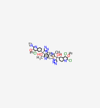 Cc1nc(C)c(C(O)(c2ccc3nc(Cl)c(OC(C)C)c(Cl)c3c2)c2cnnn2CCc2ccc(C(O)(c3ccc4nc(N5CCC5)c(OC(C)C)c(Cl)c4c3)c3cnnn3C)c(C)n2)s1